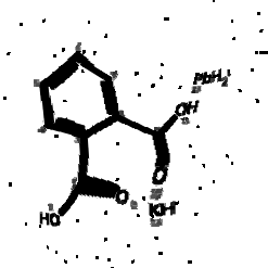 O=C(O)c1ccccc1C(=O)O.[KH].[PbH2]